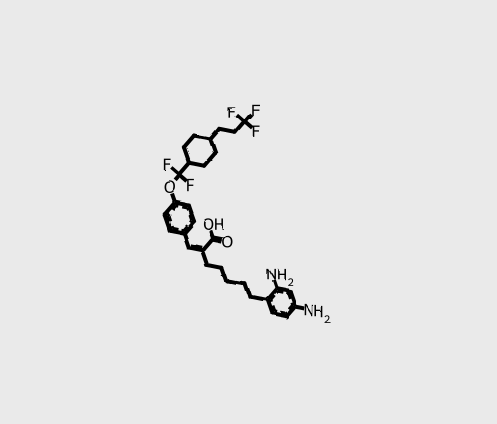 Nc1ccc(CCCCCC(=Cc2ccc(OC(F)(F)C3CCC(CCC(F)(F)F)CC3)cc2)C(=O)O)c(N)c1